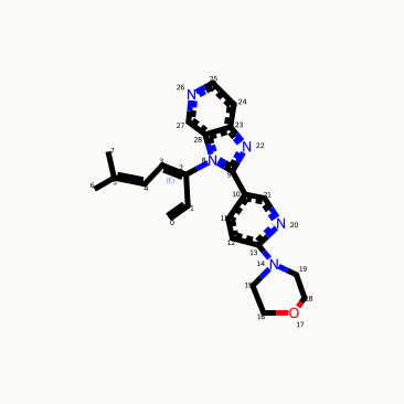 C=C/C(=C\C=C(C)C)n1c(-c2ccc(N3CCOCC3)nc2)nc2ccncc21